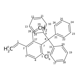 C=Cc1ccc(Cl)c(C(c2ccccc2)(c2ccccc2)c2ccccc2)c1C=C